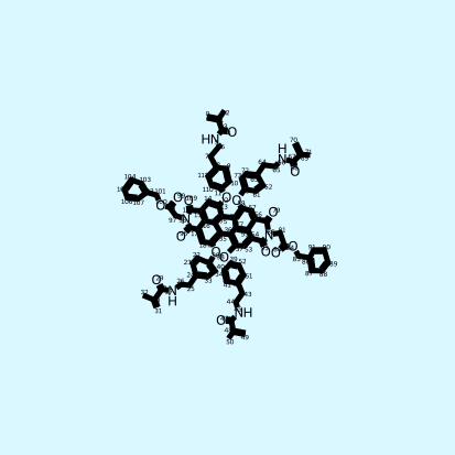 C=C(C)C(=O)NCCc1ccc(Oc2cc3c4c(cc(Oc5ccc(CCNC(=O)C(=C)C)cc5)c5c6c(Oc7ccc(CCNC(=O)C(=C)C)cc7)cc7c8c(cc(Oc9ccc(CCNC(=O)C(=C)C)cc9)c(c2c45)c86)C(=O)N(CC(=O)OCc2ccccc2)C7=O)C(=O)N(CC(=O)OCc2ccccc2)C3=O)cc1